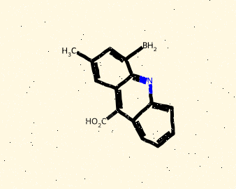 Bc1cc(C)cc2c(C(=O)O)c3ccccc3nc12